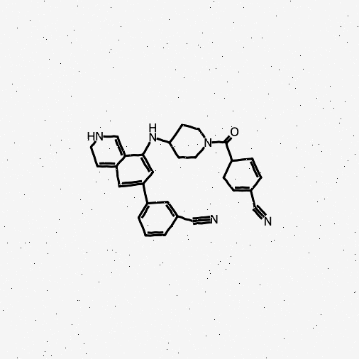 N#CC1=CCC(C(=O)N2CCC(Nc3cc(-c4cccc(C#N)c4)cc4c3=CNCC=4)CC2)C=C1